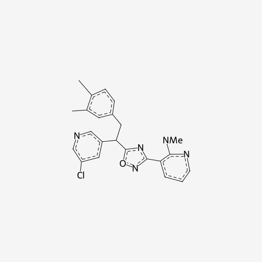 CNc1ncccc1-c1noc(C(Cc2ccc(C)c(C)c2)c2cncc(Cl)c2)n1